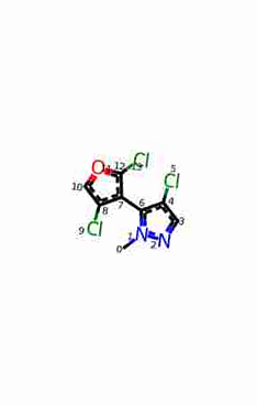 Cn1ncc(Cl)c1-c1c(Cl)coc1Cl